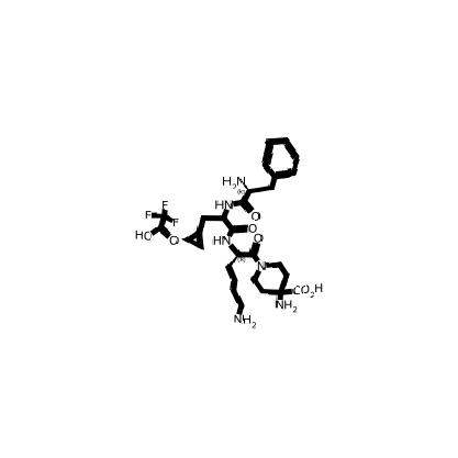 NCCCC[C@@H](NC(=O)C(CC1CC1)NC(=O)[C@H](N)Cc1ccccc1)C(=O)N1CCC(N)(C(=O)O)CC1.O=C(O)C(F)(F)F